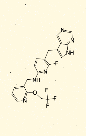 Fc1nc(NCc2cccnc2OCC(F)(F)F)ccc1Cc1c[nH]c2ncncc12